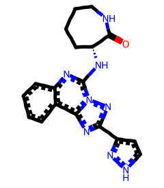 O=C1NCCCC[C@H]1Nc1nc2ccccc2c2nc(-c3cc[nH]n3)nn12